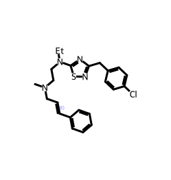 CCN(CCN(C)C/C=C/c1ccccc1)c1nc(Cc2ccc(Cl)cc2)ns1